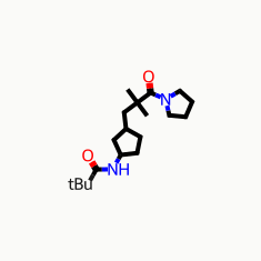 CC(C)(C)C(=O)NC1CCC(CC(C)(C)C(=O)N2CCCC2)C1